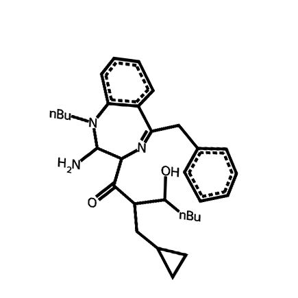 CCCCC(O)C(CC1CC1)C(=O)C1N=C(Cc2ccccc2)c2ccccc2N(CCCC)C1N